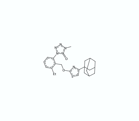 CCc1cccc(-n2nnn(C)c2=O)c1COc1nc(C23CC4CC(CC(C4)C2)C3)cs1